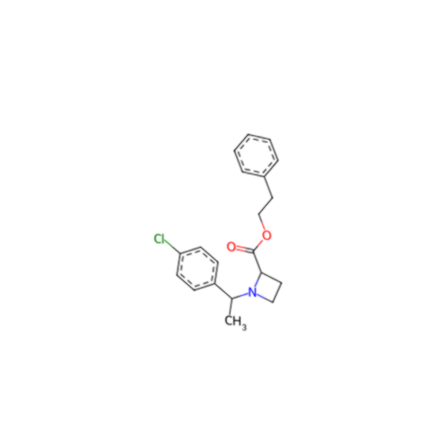 CC(c1ccc(Cl)cc1)N1CCC1C(=O)OCCc1ccccc1